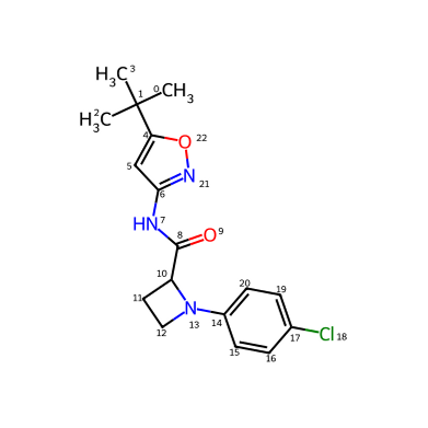 CC(C)(C)c1cc(NC(=O)C2CCN2c2ccc(Cl)cc2)no1